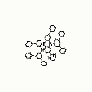 c1ccc(-c2cc(-c3ccccc3)cc(N3c4cc(-c5ccccc5)ccc4B4c5ccc(-c6ccccc6)cc5N(c5cc(-c6ccccc6)cc(-c6ccccc6)c5)c5cc(-c6ncccn6)cc3c54)c2)cc1